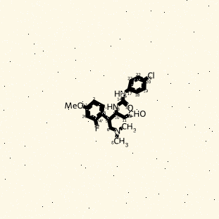 COc1ccc(C(CN(C)C)C(CC=O)NC(=O)Nc2ccc(Cl)cc2)c(F)c1